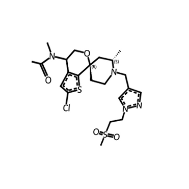 CC(=O)N(C)C1CO[C@@]2(CCN(Cc3cnn(CCS(C)(=O)=O)c3)[C@@H](C)C2)c2sc(Cl)cc21